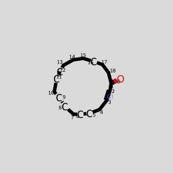 O=C1/C=C\CCCCCCCCCCCCCCC1